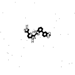 c1cc(-c2ccc3c(c2)OCO3)c2nc(-c3n[nH]c4ccc(-c5cn[nH]c5)nc34)[nH]c2c1